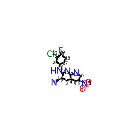 N#Cc1cc2cc([N+](=O)[O-])cnc2nc1Nc1ccc(F)c(Cl)c1